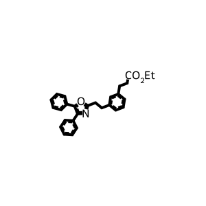 CCOC(=O)CCc1cccc(CCc2nc(-c3ccccc3)c(-c3ccccc3)o2)c1